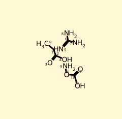 CCC(=O)O.N=C(N)N.NOC(=O)O